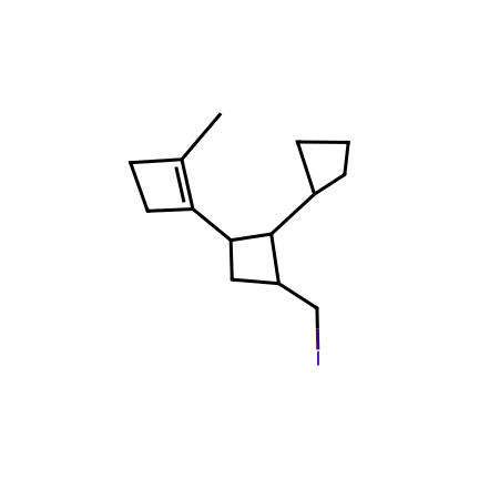 CC1=C(C2CC(CI)C2C2CCC2)CC1